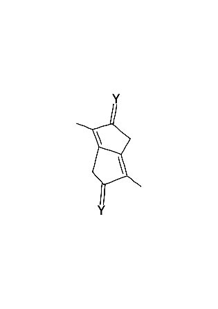 CC1=C2C[C](=[Y])C(C)=C2C[C]1=[Y]